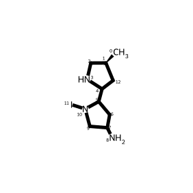 C[C@@H]1CNC(C2CC(N)CN2I)C1